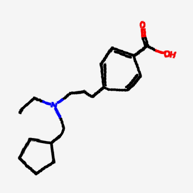 CCN(CCc1ccc(C(=O)O)cc1)CC1CCCC1